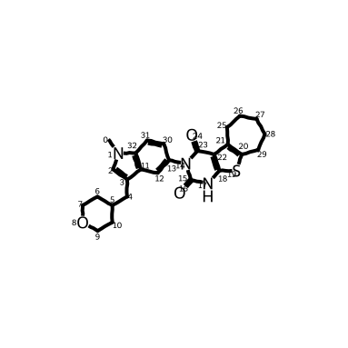 Cn1cc(CC2CCOCC2)c2cc(-n3c(=O)[nH]c4sc5c(c4c3=O)CCCCC5)ccc21